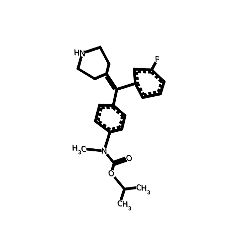 CC(C)OC(=O)N(C)c1ccc(C(=C2CCNCC2)c2cccc(F)c2)cc1